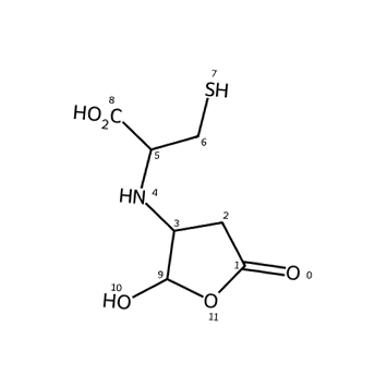 O=C1CC(NC(CS)C(=O)O)C(O)O1